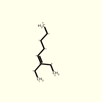 [CH2]CCCC=C(CC)CC